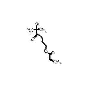 C=CC(=O)OCCCC(=O)C(C)(C)Br